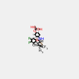 [2H][C@@]1(C(=O)Nc2ccc(OB(O)O)cc2)S[C@@](C)(C(F)(F)F)C[C@H]1c1ccc(F)c(F)c1OC